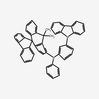 CC1(C)c2ccccc2C2(c3ccccc3-c3ccccc32)c2ccc(N(c3ccccc3)c3cccc(-n4c5ccccc5c5ccccc54)c3)cc21